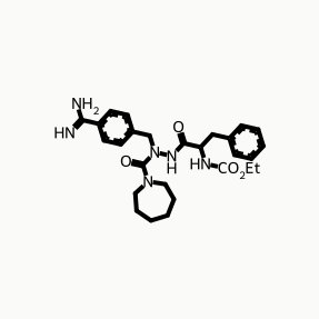 CCOC(=O)NC(Cc1ccccc1)C(=O)NN(Cc1ccc(C(=N)N)cc1)C(=O)N1CCCCCC1